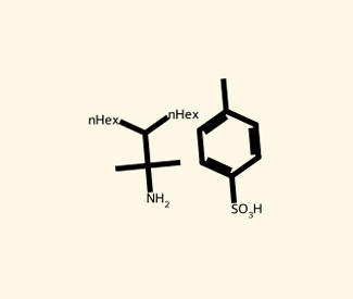 CCCCCCC(CCCCCC)C(C)(C)N.Cc1ccc(S(=O)(=O)O)cc1